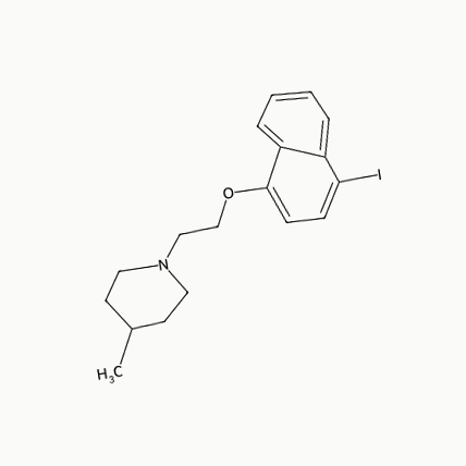 CC1CCN(CCOc2ccc(I)c3ccccc23)CC1